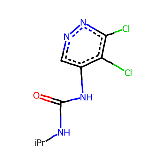 CC(C)NC(=O)Nc1cnnc(Cl)c1Cl